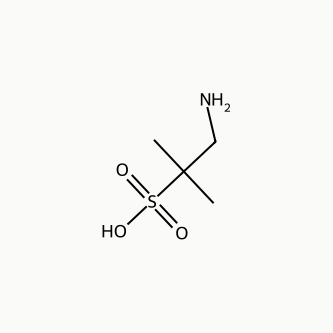 CC(C)(CN)S(=O)(=O)O